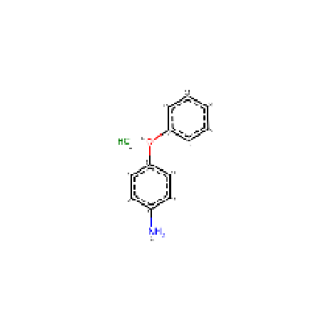 Cl.Nc1ccc(Oc2ccccc2)cc1